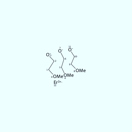 COCC[O-].COCC[O-].COCC[O-].[Er+3]